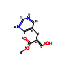 COC(=O)/C(=C/O)Cc1cncnc1